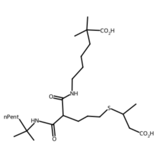 CCCCCC(C)(C)NC(=O)C(CCCSC(C)CC(=O)O)C(=O)NCCCCC(C)(C)C(=O)O